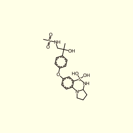 CC(O)(CNS(C)(=O)=O)c1ccc(Oc2ccc3c(c2)S(O)(O)NC2CCCN32)cc1